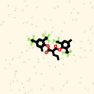 CCCC(C(=O)Oc1c(C)cc(C(F)(F)F)cc1C(F)(F)F)C(=O)Oc1c(C(F)(F)F)cc(C)cc1C(F)(F)F